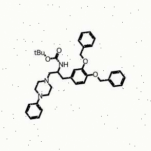 CC(C)(C)OC(=O)NC(Cc1ccc(OCc2ccccc2)c(OCc2ccccc2)c1)CN1CCN(c2ccccc2)CC1